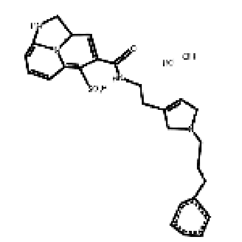 Cl.Cl.O=C(NCCC1=CCN(CCCc2ccccc2)C1)C1=CC2CNC3=CC=CC(=C1S(=O)(=O)O)N32